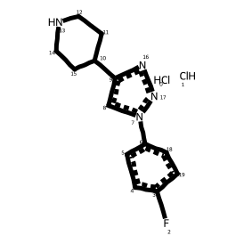 Cl.Cl.Fc1ccc(-n2cc(C3CCNCC3)nn2)cc1